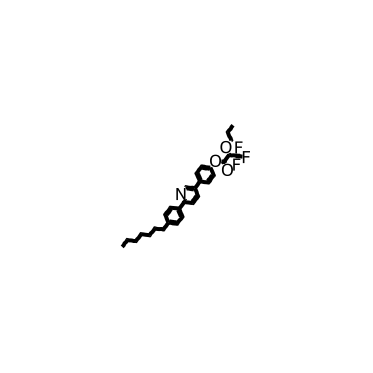 CCCCCCCc1ccc(-c2ccc(-c3ccc(OC(=O)C(OCCC)C(F)(F)F)cc3)cn2)cc1